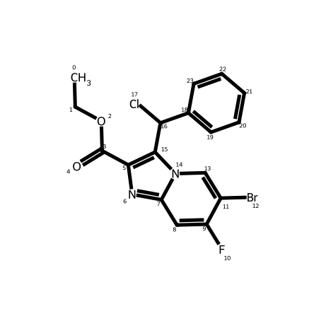 CCOC(=O)c1nc2cc(F)c(Br)cn2c1C(Cl)c1ccccc1